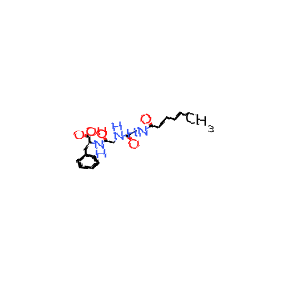 CCCCCC(=O)NCC(=O)NCC(=O)N[C@@H](Cc1ccccc1)C(=O)O